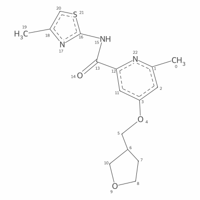 Cc1cc(OCC2CCOC2)cc(C(=O)Nc2nc(C)cs2)n1